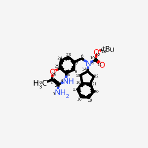 CC1=C(N)Nc2cc(CN(C(=O)OC(C)(C)C)C3Cc4ccccc4C3)ccc2O1